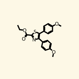 CCOC(=O)c1nc(-c2ccc(OC)cc2)c(-c2ccc(OC)cc2)s1